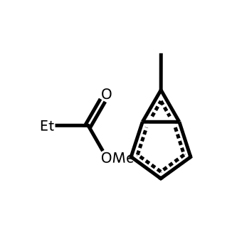 CCC(=O)OC.Cc1c2cccc1-2